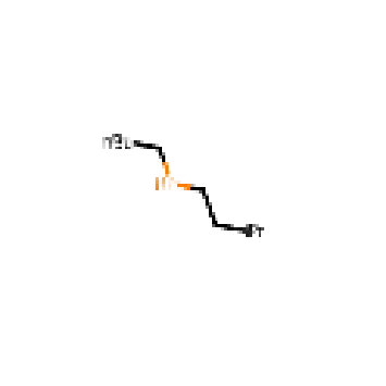 CCCCCPCCC(C)C